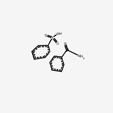 NC(=O)c1ccccc1.O=S(=O)(O)c1ccccc1